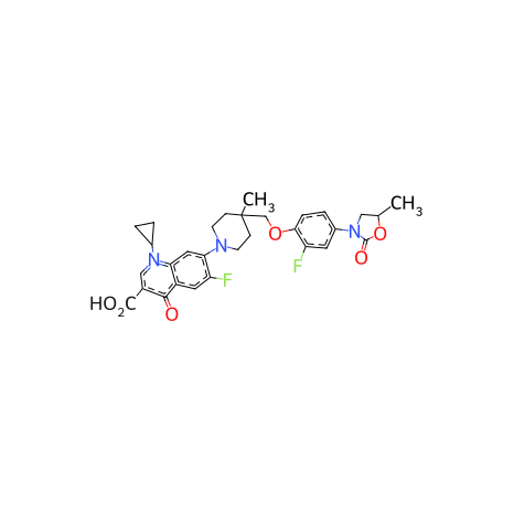 CC1CN(c2ccc(OCC3(C)CCN(c4cc5c(cc4F)c(=O)c(C(=O)O)cn5C4CC4)CC3)c(F)c2)C(=O)O1